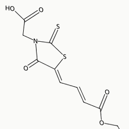 CCOC(=O)/C=C/C=C1\SC(=S)N(CC(=O)O)C1=O